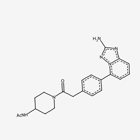 CC(=O)NC1CCN(C(=O)Cc2ccc(-c3cccc4nc(N)nn34)cc2)CC1